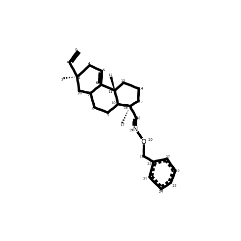 C=C[C@@]1(C)CC=C2C(CCC3[C@@]2(C)CCC[C@@]3(C)/C=N/OCc2ccccc2)C1